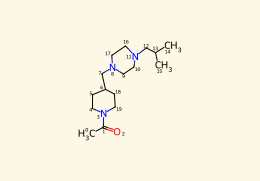 CC(=O)N1CCC(CN2CCN(CC(C)C)CC2)CC1